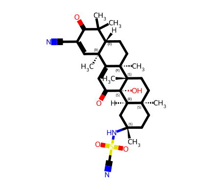 CC1(C)C(=O)C(C#N)=C[C@]2(C)C3=CC(=O)[C@]4(O)[C@@H]5C[C@@](C)(NS(=O)(=O)C#N)CC[C@]5(C)CC[C@@]4(C)[C@]3(C)CC[C@@H]12